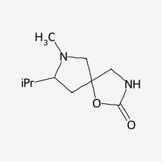 CC(C)C1CC2(CNC(=O)O2)CN1C